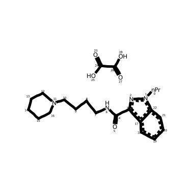 CCCn1nc(C(=O)NCCCCN2CCCCC2)c2ccccc21.O=C(O)C(=O)O